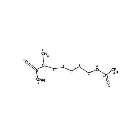 COC(=O)C(C)CCCCCOC(=O)C(F)(F)F